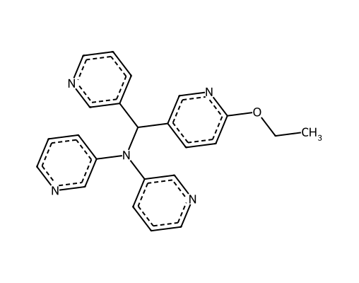 CCOc1ccc(C(c2cccnc2)N(c2cccnc2)c2cccnc2)cn1